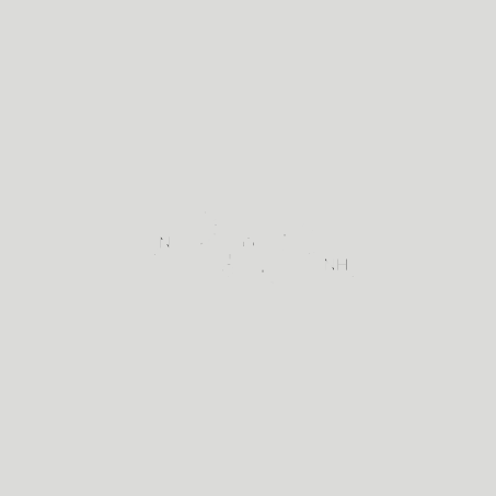 Nc1cccc(C(=O)Oc2cccc3c(N)cccc23)c1